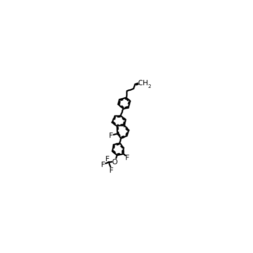 C=CCCc1ccc(-c2ccc3c(F)c(-c4ccc(OC(F)(F)F)c(F)c4)ccc3c2)cc1